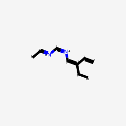 C=C\C(=C/N=C\N=C\C)CC